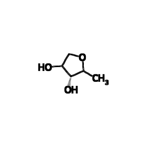 CC1OCC(O)[C@H]1O